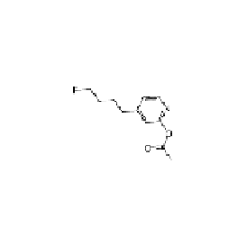 CC(=O)Oc1cc(CCCCF)ccn1